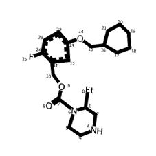 CCC1CNCCN1C(=O)OCc1cc(OCC2CCCCC2)ccc1F